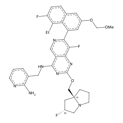 CCc1c(F)ccc2cc(OCOC)cc(-c3ncc4c(NCc5cccnc5N)nc(OC[C@@]56CCCN5C[C@H](F)C6)nc4c3F)c12